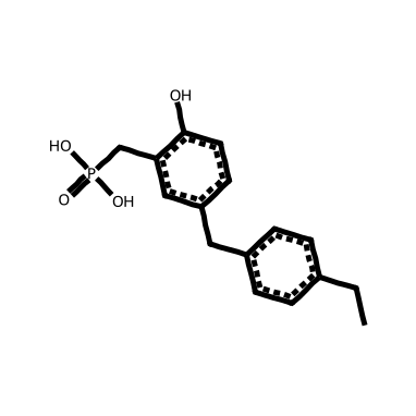 CCc1ccc(Cc2ccc(O)c(CP(=O)(O)O)c2)cc1